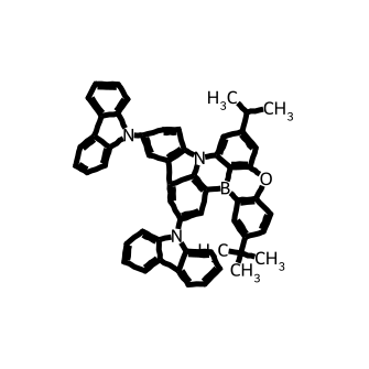 CC(C)c1cc2c3c(c1)-n1c4ccc(-n5c6ccccc6c6ccccc65)cc4c4cc(-n5c6ccccc6c6ccccc65)cc(c41)B3c1cc(C(C)(C)C)ccc1O2